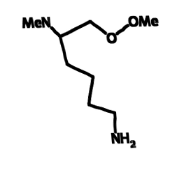 CNC(CCCCN)COOC